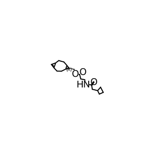 O=C(CC1CCC1)NCCC(=O)OC[C@H]1C2CCC3=CC3CCC21